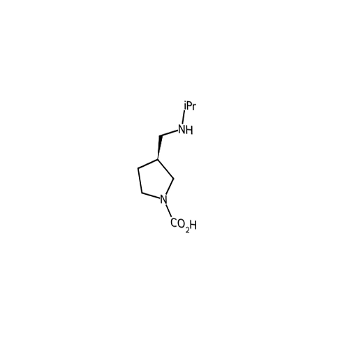 CC(C)NC[C@@H]1CCN(C(=O)O)C1